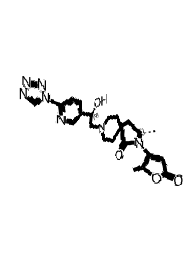 CC1OC(=O)C=C1N1C(=O)C2(CCN(C[C@H](O)c3ccc(-n4cnnn4)nc3)CC2)C[C@@H]1C